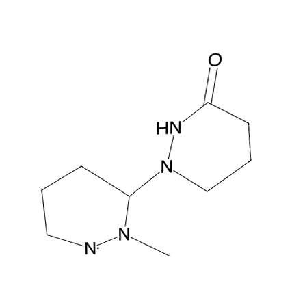 CN1[N]CCCC1N1CCCC(=O)N1